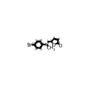 CN(CC1C=CC(=O)O1)c1ccc(Br)cc1